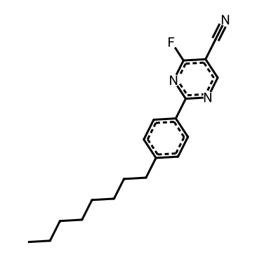 CCCCCCCCc1ccc(-c2ncc(C#N)c(F)n2)cc1